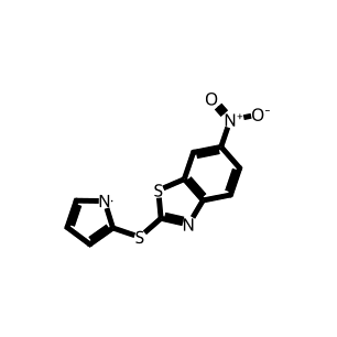 O=[N+]([O-])c1ccc2nc(SC3=CC=C[N]3)sc2c1